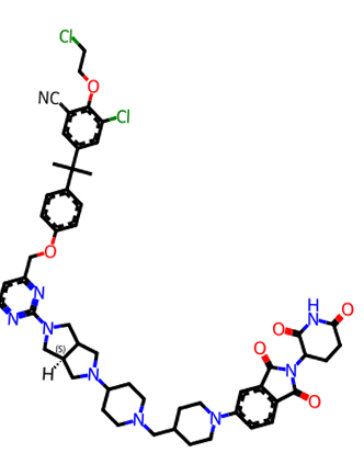 CC(C)(c1ccc(OCc2ccnc(N3CC4CN(C5CCN(CC6CCN(c7ccc8c(c7)C(=O)N(C7CCC(=O)NC7=O)C8=O)CC6)CC5)C[C@H]4C3)n2)cc1)c1cc(Cl)c(OCCCl)c(C#N)c1